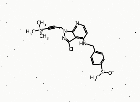 C[S+]([O-])c1ccc(CNc2ccnc3c2c(Cl)nn3CC#C[Si](C)(C)C)cc1